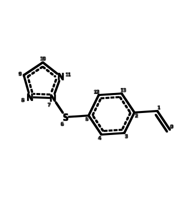 C=Cc1ccc(Sn2nccn2)cc1